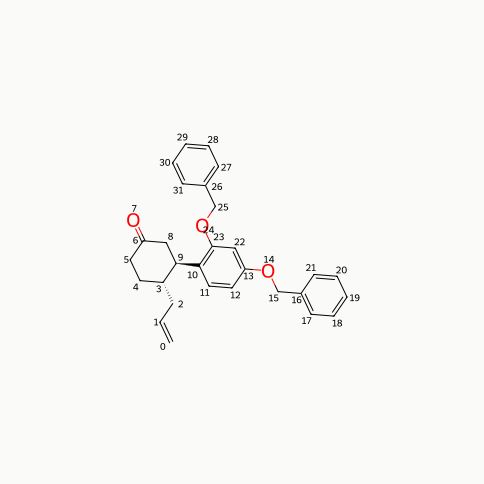 C=CC[C@@H]1CCC(=O)C[C@H]1c1ccc(OCc2ccccc2)cc1OCc1ccccc1